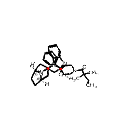 CCC(C)(C)C(=O)N1CCC(CCN2[C@@H]3CC[C@H]2CC(n2c(C)nc4ccccc42)C3)(c2ccccc2)CC1